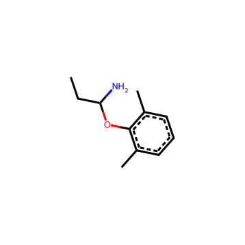 CCC(N)Oc1c(C)cccc1C